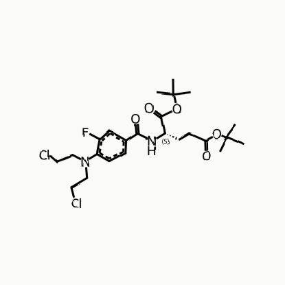 CC(C)(C)OC(=O)CC[C@H](NC(=O)c1ccc(N(CCCl)CCCl)c(F)c1)C(=O)OC(C)(C)C